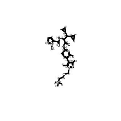 CCn1nccc1C(=O)NC(C(=O)Nc1ccc(-c2c(C)nn(COCC[Si](C)(C)C)c2C)c(C)n1)C(C1CC1)C1CC1